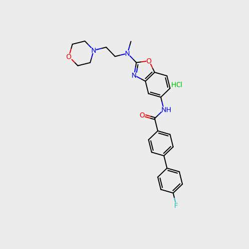 CN(CCN1CCOCC1)c1nc2cc(NC(=O)c3ccc(-c4ccc(F)cc4)cc3)ccc2o1.Cl